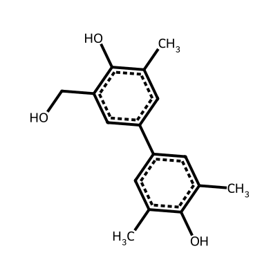 Cc1cc(-c2cc(C)c(O)c(CO)c2)cc(C)c1O